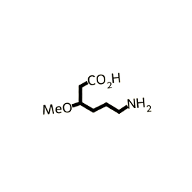 COC(CCCN)CC(=O)O